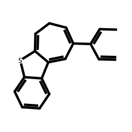 C=C/C(=C\C)C1=CCC=c2sc3ccccc3c2=C1